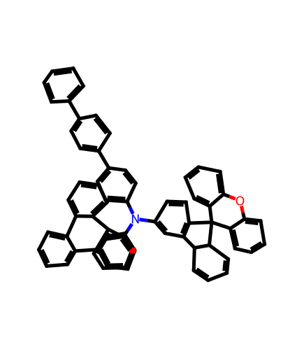 C1=CC2c3cc(N(c4ccc(-c5ccc(-c6ccccc6)cc5)cc4)c4ccccc4-c4ccccc4-c4ccccc4-c4ccccc4)ccc3C3(c4ccccc4Oc4ccccc43)C2C=C1